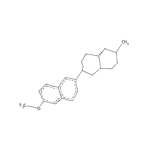 CC1CCC2CC(c3ccc4cc(OC(F)(F)F)ccc4c3)CCC2C1